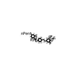 CCCCCc1cc(F)c(C(F)(F)Oc2ccc(CCc3cc(F)c(OC(F)F)c(F)c3)cc2)c(F)c1